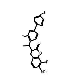 CCCc1ccc2c(c1F)OC(=O)C(C(C)c1ccc(-c3ccc(CC)cc3)cc1F)C2